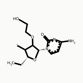 CC[C@H]1O[C@@H](n2ccc(N)nc2=O)C(OCCO)C1I